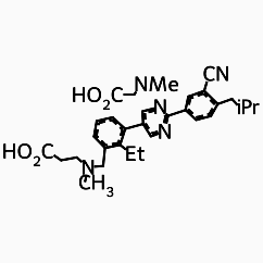 CCc1c(CN(C)CCC(=O)O)cccc1-c1cnc(-c2ccc(CC(C)C)c(C#N)c2)nc1.CNCC(=O)O